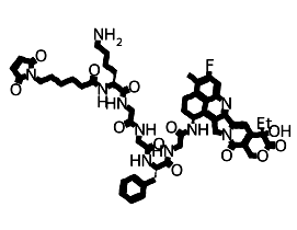 CC[C@@]1(O)C(=O)OCc2c1cc1n(c2=O)Cc2c-1nc1cc(F)c(C)c3c1c2[C@@H](NC(=O)CNC(=O)[C@H](Cc1ccccc1)NC(=O)CNC(=O)CNC(=O)[C@H](CCCCN)NC(=O)CCCCCN1C(=O)C=CC1=O)CC3